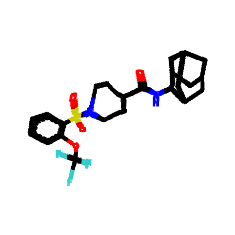 O=C(NC1C2CC3CC(C2)CC1C3)C1CCN(S(=O)(=O)c2ccccc2OC(F)(F)F)CC1